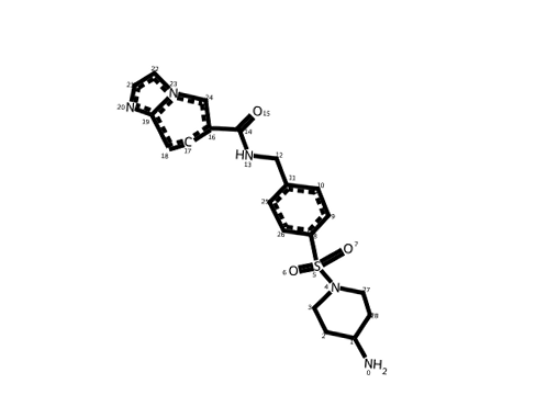 NC1CCN(S(=O)(=O)c2ccc(CNC(=O)c3ccc4nccn4c3)cc2)CC1